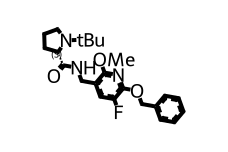 COc1nc(OCc2ccccc2)c(F)cc1CNC(=O)[C@@H]1CCCN1C(C)(C)C